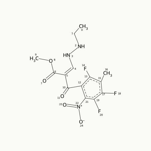 CCNNC=C(C(=O)OC)C(=O)c1c(F)c(C)c(F)c(F)c1[N+](=O)[O-]